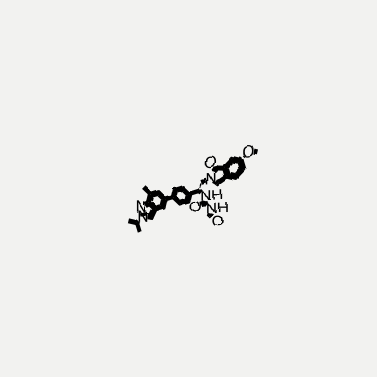 COc1ccc2c(c1)C(=O)N(C[C@H](NC(=O)NC=O)c1ccc(-c3cc(C)c4nn(C(C)C)cc4c3)cc1)C2